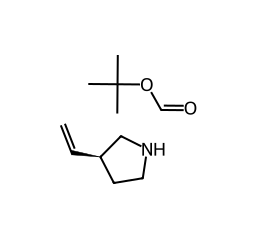 C=C[C@@H]1CCNC1.CC(C)(C)OC=O